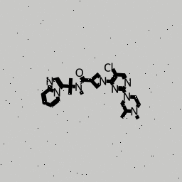 CC1CN(c2ncc(Cl)c(N3CC(C(=O)N(C)C(C)(C)c4cnc5ccccn45)C3)n2)CCN1C